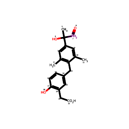 Cc1cc(C(C)(O)[PH2]=O)cc(C)c1Cc1ccc(O)c(CC(=O)O)c1